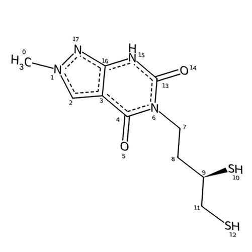 Cn1cc2c(=O)n(CC[C@@H](S)CS)c(=O)[nH]c2n1